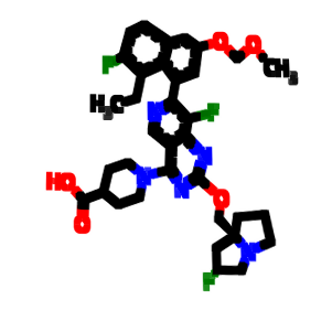 CCc1c(F)ccc2cc(OCOC)cc(-c3ncc4c(N5CCC(C(=O)O)CC5)nc(OC[C@@]56CCCN5C[C@H](F)C6)nc4c3F)c12